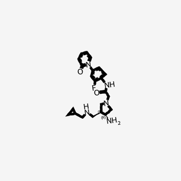 N[C@H]1CN(CC(=O)Nc2ccc(-n3ccccc3=O)cc2F)C[C@@H]1CNCC1CC1